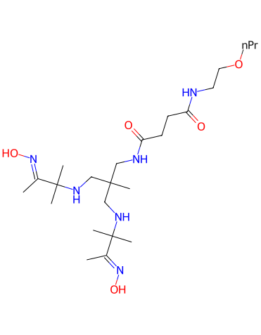 CCCOCCNC(=O)CCC(=O)NCC(C)(CNC(C)(C)/C(C)=N/O)CNC(C)(C)/C(C)=N/O